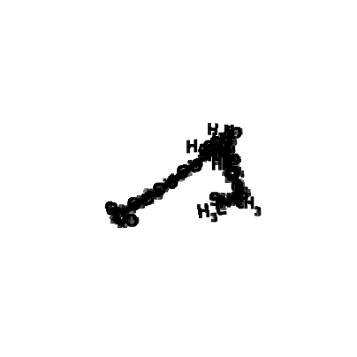 CC(C)C(NC(=O)CCOCCOCCOCCOCCOCCOCCN1C(=O)C=CC1=O)C(=O)NC(CCCNC(N)=O)C(=O)Nc1ccc(COC(=S)N(C)CCN(C)C=S)cc1